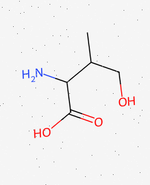 CC(CO)C(N)C(=O)O